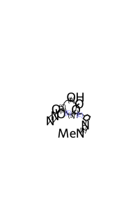 CN[C@@H]1CCN(c2cccc(/C=C(\C)[C@H]3OC(=O)C[C@H](O)CC[C@H](C)[C@@H](OC(=O)N4CCN(C)CC4)/C=C/[C@@H]3C)c2)C1